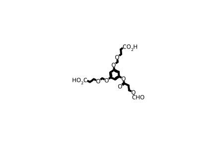 O=COCCC(=O)Oc1cc(OCOCCC(=O)O)cc(OCOCCC(=O)O)c1